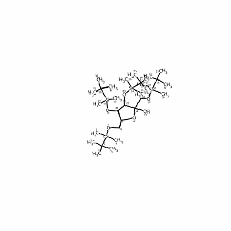 CC(C)(C)[Si](C)(C)OCC1OC(O)(CO[Si](C)(C)C(C)(C)C)C(O[Si](C)(C)C(C)(C)C)C1O[Si](C)(C)C(C)(C)C